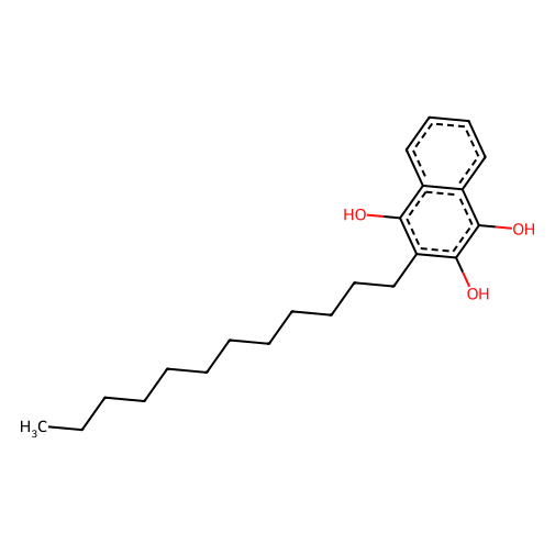 CCCCCCCCCCCCc1c(O)c(O)c2ccccc2c1O